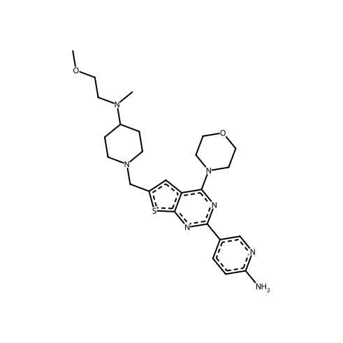 COCCN(C)C1CCN(Cc2cc3c(N4CCOCC4)nc(-c4ccc(N)nc4)nc3s2)CC1